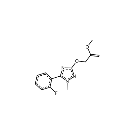 C=C(COc1nc(-c2ccccc2F)n(C)n1)OC